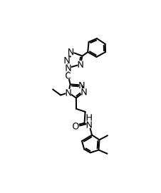 CCn1c(CCC(=O)Nc2cccc(C)c2C)nnc1Cn1nnc(-c2ccccc2)n1